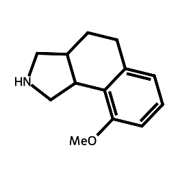 COc1cccc2c1C1CNCC1CC2